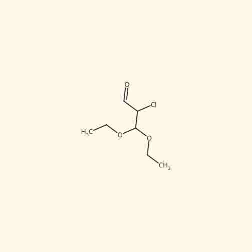 CCOC(OCC)C(Cl)C=O